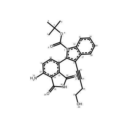 CC(C)(C)OC(=O)n1c(-c2ccc(N)c3c2C(=O)NC3=O)c(C#CCCO)c2ccccc21